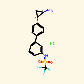 Cl.N[C@@H]1C[C@H]1c1ccc(-c2cccc(NS(=O)(=O)C(F)(F)F)c2)cc1